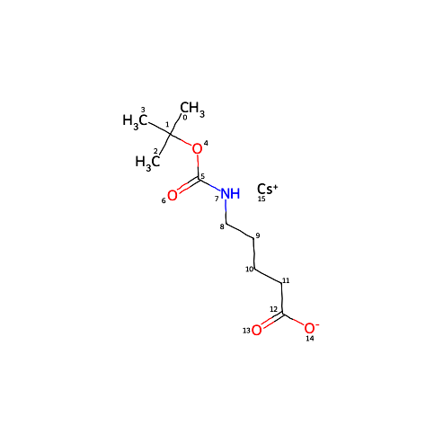 CC(C)(C)OC(=O)NCCCCC(=O)[O-].[Cs+]